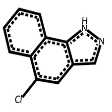 Clc1cc2cn[nH]c2c2ccccc12